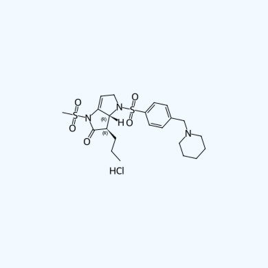 CCC[C@H]1C(=O)N(S(C)(=O)=O)C2=CCN(S(=O)(=O)c3ccc(CN4CCCCC4)cc3)[C@@H]21.Cl